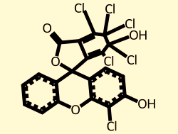 O=C1OC2(C3=C(Cl)C(O)(Cl)C(Cl)(Cl)C(Cl)=C13)c1ccccc1Oc1c2ccc(O)c1Cl